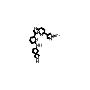 CC(C)n1cc(-c2ccc3ncc(-c4cccc(NC5CCC6(CNC6)C5)n4)n3n2)cn1